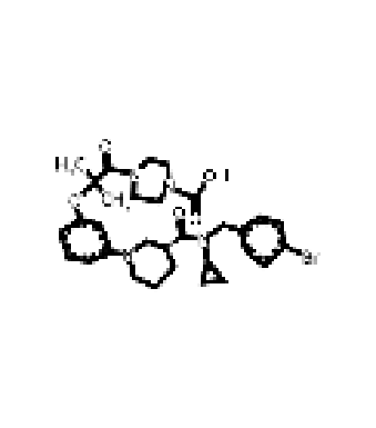 CC(C)(Oc1cccc(N2CCC[C@H](C(=O)N(Cc3ccc(Br)cc3)C3CC3)C2)c1)C(=O)N1CCN(C(=O)O)CC1